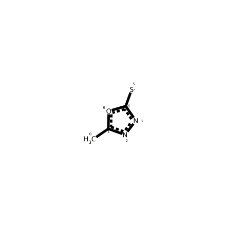 Cc1nnc([S])o1